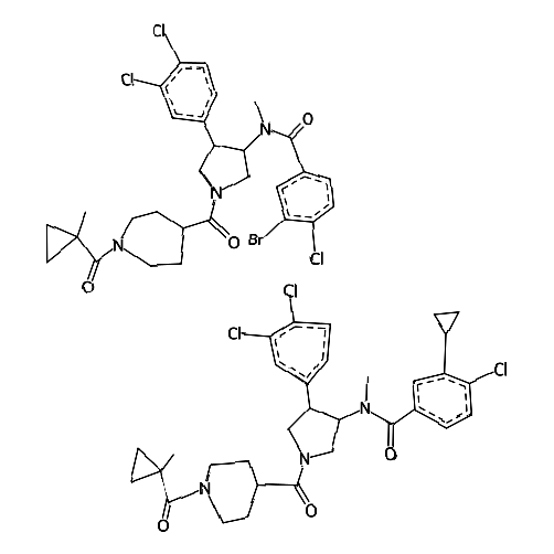 CN(C(=O)c1ccc(Cl)c(Br)c1)C1CN(C(=O)C2CCN(C(=O)C3(C)CC3)CC2)CC1c1ccc(Cl)c(Cl)c1.CN(C(=O)c1ccc(Cl)c(C2CC2)c1)C1CN(C(=O)C2CCN(C(=O)C3(C)CC3)CC2)CC1c1ccc(Cl)c(Cl)c1